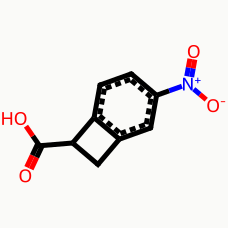 O=C(O)C1Cc2cc([N+](=O)[O-])ccc21